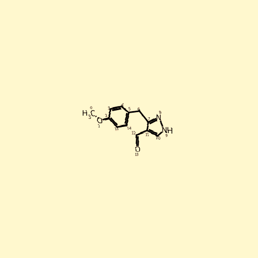 COc1ccc(Cc2n[nH]cc2C=O)cc1